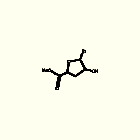 CCC1OC(C(=O)OC)CC1O